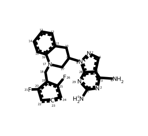 Nc1nc(N)c2cnn(C3Cc4ccccc4N(Cc4c(F)cccc4F)C3)c2n1